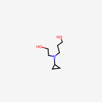 OCCCN(CCO)C1CC1